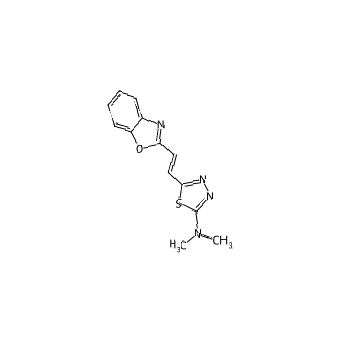 CN(C)c1nnc(/C=C/c2nc3ccccc3o2)s1